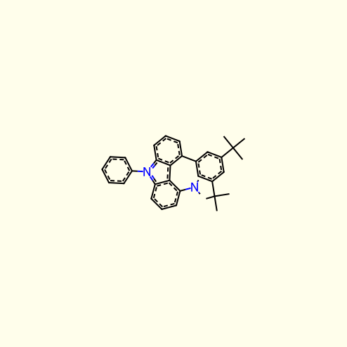 CN(C)c1cccc2c1c1c(-c3cc(C(C)(C)C)cc(C(C)(C)C)c3)cccc1n2-c1ccccc1